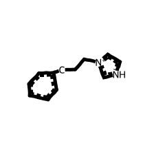 c1ccc(CCC[n+]2cc[nH]c2)cc1